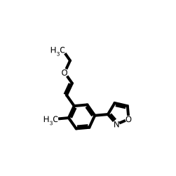 CCO/C=C/c1cc(-c2ccon2)ccc1C